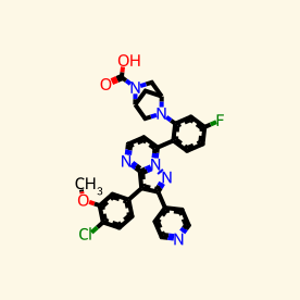 COc1cc(-c2c(-c3ccncc3)nn3c(-c4ccc(F)cc4N4CC5CC4CN5C(=O)O)ccnc23)ccc1Cl